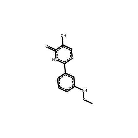 CSNc1cccc(-c2ncc(O)c(=O)[nH]2)c1